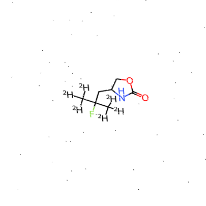 [2H]C([2H])([2H])C(F)(CC1COC(=O)N1)C([2H])([2H])[2H]